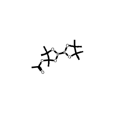 CC(=O)OC1(C)OB(B2OC(C)(C)C(C)(C)O2)OC1(C)C